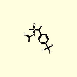 CC(=O)N=S(C)(=O)C(C)c1ccc(C(F)(F)F)nc1